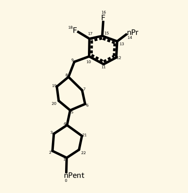 CCCCCC1CCC(C2CCC(Cc3ccc(CCC)c(F)c3F)CC2)CC1